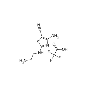 N#Cc1sc(NCCN)nc1N.O=C(O)C(F)(F)F